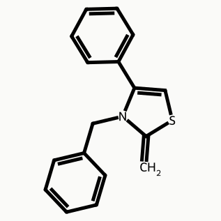 C=C1SC=C(c2ccccc2)N1Cc1ccccc1